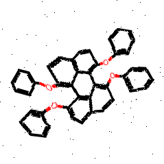 c1ccc(Oc2ccc3ccc(Oc4ccccc4)c4c5c(Oc6ccccc6)ccc6ccc(Oc7ccccc7)c(c2c34)c65)cc1